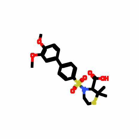 COc1ccc(-c2ccc(S(=O)(=O)N3CCSC(C)(C)C3C(=O)O)cc2)cc1OC